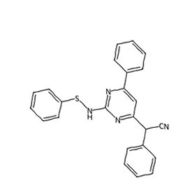 N#CC(c1ccccc1)c1cc(-c2ccccc2)nc(NSc2ccccc2)n1